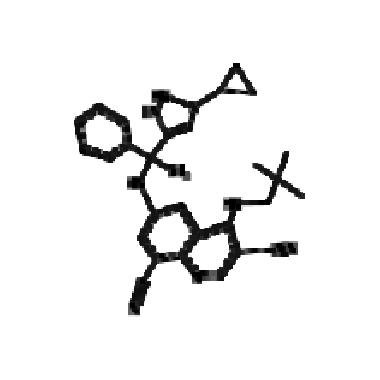 BC(Nc1cc(C#N)c2ncc(C#N)c(NCC(C)(C)C)c2c1)(C1=CN(C2CC2)NN1)c1ccccc1